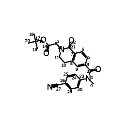 CN(C(=O)c1ccc2c(c1)CCN(CC(=O)OC(C)(C)C)C2=O)c1ccc(C#N)cc1